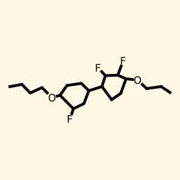 CCCCOC1CCC(C2CCC(OCCC)C(F)C2F)CC1F